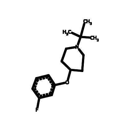 CC(C)(C)N1CCC(Oc2cccc(F)c2)CC1